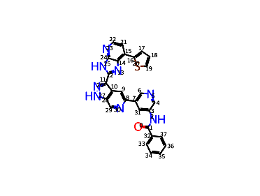 O=C(Nc1cncc(-c2cc3c(-c4nc5c(-c6cccs6)ccnc5[nH]4)n[nH]c3cn2)c1)c1ccccc1